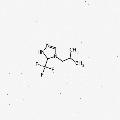 CC(C)CN1C=NNC1C(F)(F)F